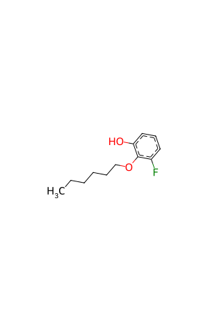 CCCCCCOc1c(O)cccc1F